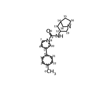 Cc1ccc(-c2ccn(C(=O)NC3CC4CCN(C4)C3)c2)cc1